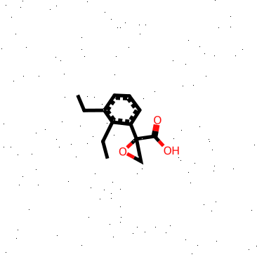 CCc1cccc(C2(C(=O)O)CO2)c1CC